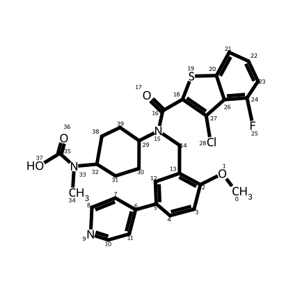 COc1ccc(-c2ccncc2)cc1CN(C(=O)c1sc2cccc(F)c2c1Cl)C1CCC(N(C)C(=O)O)CC1